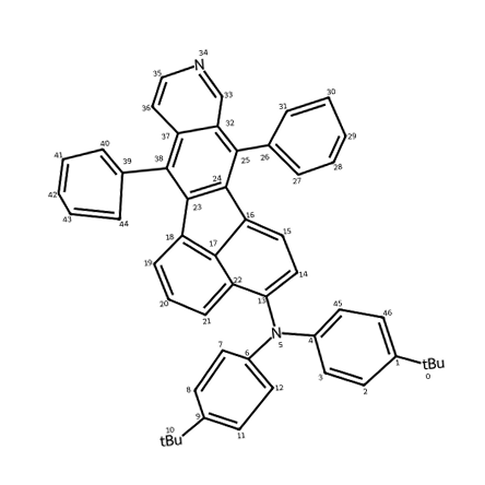 CC(C)(C)c1ccc(N(c2ccc(C(C)(C)C)cc2)c2ccc3c4c(cccc24)-c2c-3c(-c3ccccc3)c3cnccc3c2-c2ccccc2)cc1